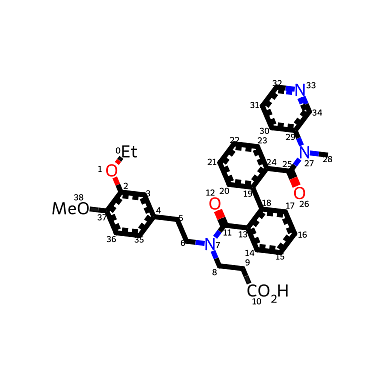 CCOc1cc(CCN(CCC(=O)O)C(=O)c2ccccc2-c2ccccc2C(=O)N(C)c2cccnc2)ccc1OC